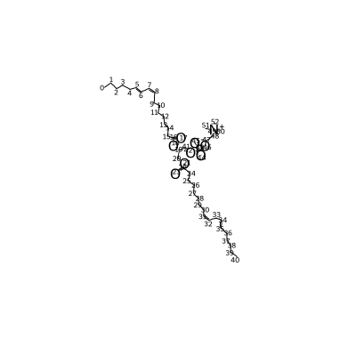 CCCCC/C=C/C=C\CCCCCCCC(=O)O[C@H](COC(=O)CCCCCCC/C=C\C/C=C/CCCCC)COP(=O)([O-])OCC[N+](C)(C)C